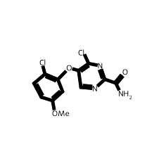 COc1ccc(Cl)c(Oc2cnc(C(N)=O)nc2Cl)c1